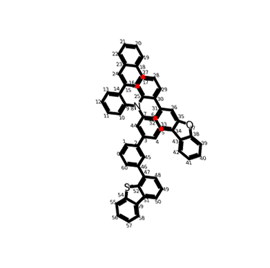 c1cc(-c2cccc(N(c3ccccc3-c3ccc4ccccc4c3)c3ccccc3-c3ccc4c(c3)oc3ccccc34)c2)cc(-c2cccc3c2sc2ccccc23)c1